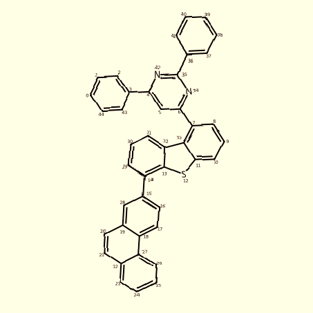 c1ccc(-c2cc(-c3cccc4sc5c(-c6ccc7c(ccc8ccccc87)c6)cccc5c34)nc(-c3ccccc3)n2)cc1